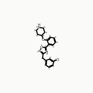 Clc1cccc(Cc2noc(-c3ccccc3OC3CCNCC3)n2)c1